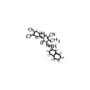 CC1=C(C#N)c2nc3cc(Cl)c(Cl)cc3n2C(=O)/C1=N/Nc1ccc2ccccc2c1